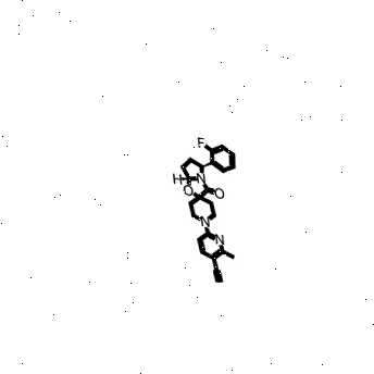 C#Cc1ccc(N2CCC3(CC2)O[C@@H]2CC[C@@H](c4ccccc4F)N2C3=O)nc1C